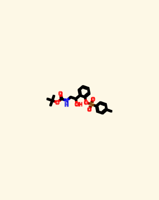 Cc1ccc(S(=O)(=O)Oc2ccccc2C(O)CNC(=O)OC(C)(C)C)cc1